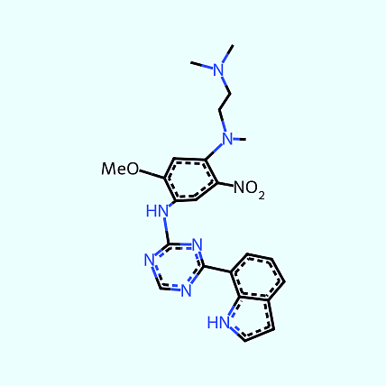 COc1cc(N(C)CCN(C)C)c([N+](=O)[O-])cc1Nc1ncnc(-c2cccc3cc[nH]c23)n1